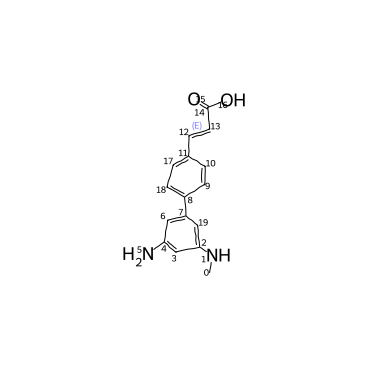 CNc1cc(N)cc(-c2ccc(/C=C/C(=O)O)cc2)c1